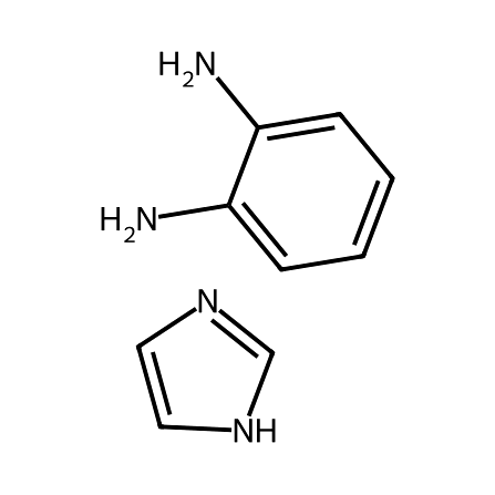 Nc1ccccc1N.c1c[nH]cn1